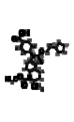 COC(=O)N1c2ccc3c(nc(OCCC4CCCC4)n3C3CCC(C(=O)O)CC3)c2CCC1C